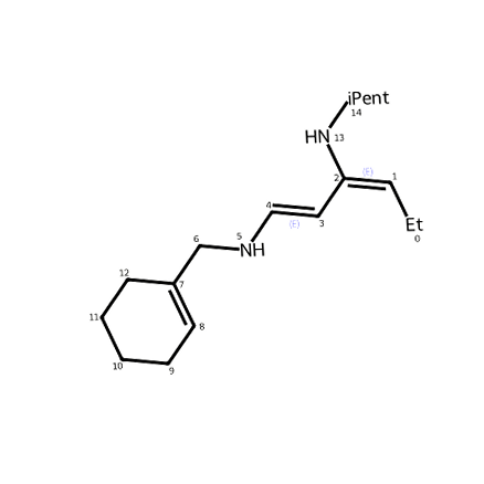 CC/C=C(\C=C\NCC1=CCCCC1)NC(C)CCC